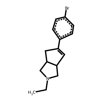 CCN1CC2C=C(c3ccc(Br)cc3)CC2C1